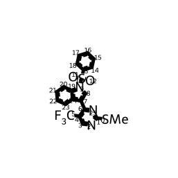 CSc1ncc(C(F)(F)F)c(-c2cn(S(=O)(=O)c3ccccc3)c3ccccc23)n1